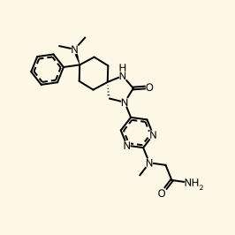 CN(CC(N)=O)c1ncc(N2C[C@]3(CC[C@](c4ccccc4)(N(C)C)CC3)NC2=O)cn1